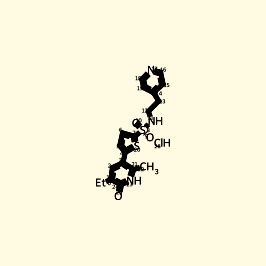 CCc1cc(-c2ccc(S(=O)(=O)NCCc3ccncc3)s2)c(C)[nH]c1=O.Cl